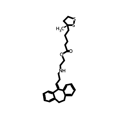 C[C@@]1(CCCCC(=O)OCCNCCC=C2c3ccccc3CCc3ccccc32)CCSS1